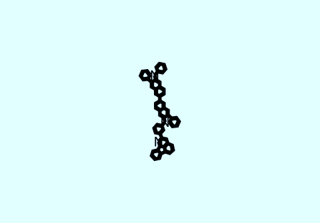 c1ccc(-n2c3ccccc3c3cc4cc(-c5ccc6cc7c(cc6c5)c5ccccc5n7-c5cccc(-c6cc7cccc8c7c(n6)-c6ccccc6-8)c5)ccc4cc32)cc1